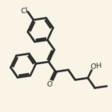 CCC(O)CCC(=O)/C(=C/c1ccc(Cl)cc1)c1ccccc1